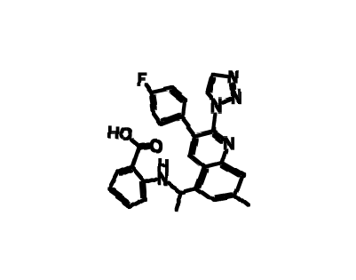 Cc1cc(C(C)Nc2ccccc2C(=O)O)c2cc(-c3ccc(F)cc3)c(-n3ccnn3)nc2c1